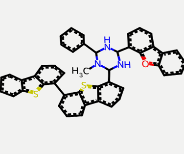 CN1C(c2ccccc2)NC(c2cccc3c2oc2ccccc23)NC1c1cccc2c1sc1c(-c3cccc4c3sc3ccccc34)cccc12